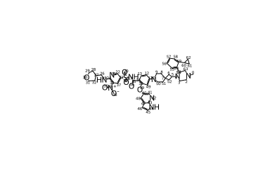 CN1CCN(C2CC3(CCN(c4ccc(C(=O)NS(=O)(=O)c5cnc(NCC6CCOCC6)c([N+](=O)[O-])c5)c(Oc5cnc6[nH]ccc6c5)c4)CC3)C2)[C@@H](c2ccccc2C2CC2)C1